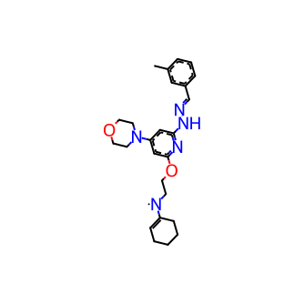 Cc1cccc(C=NNc2cc(N3CCOCC3)cc(OCC[N]C3=CCCCC3)n2)c1